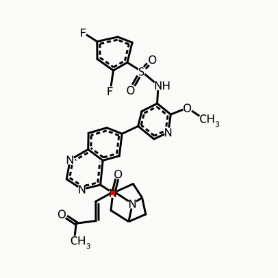 COc1ncc(-c2ccc3ncnc(N4CC5CC(C4)N5C(=O)/C=C/C(C)=O)c3c2)cc1NS(=O)(=O)c1ccc(F)cc1F